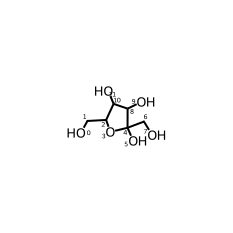 OCC1OC(O)(CO)C(O)C1O